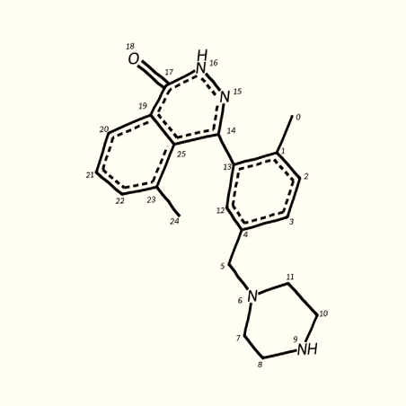 Cc1ccc(CN2CCNCC2)cc1-c1n[nH]c(=O)c2cccc(C)c12